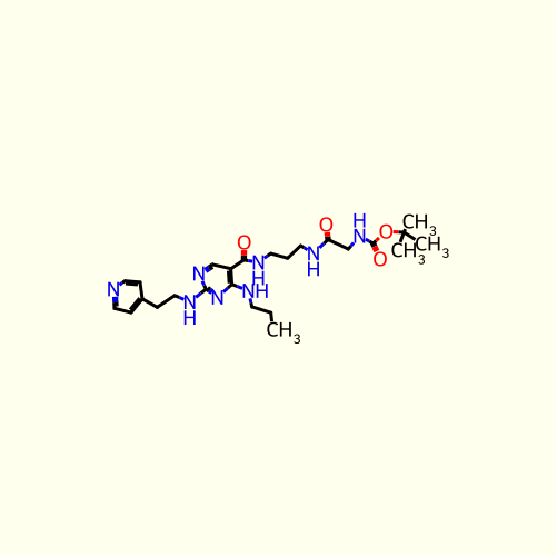 CCCNc1nc(NCCc2ccncc2)ncc1C(=O)NCCCNC(=O)CNC(=O)OC(C)(C)C